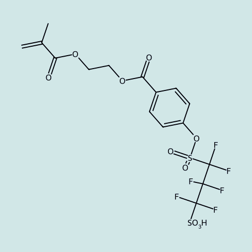 C=C(C)C(=O)OCCOC(=O)c1ccc(OS(=O)(=O)C(F)(F)C(F)(F)C(F)(F)S(=O)(=O)O)cc1